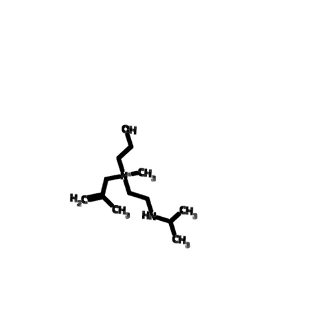 C=C(C)C[N+](C)(CCO)CCNC(C)C